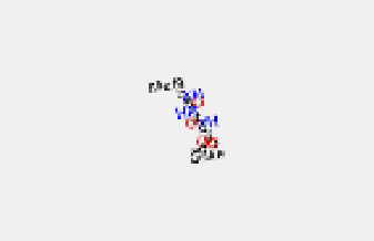 COCCNCC(=O)NCC(=O)NCCC(=O)OCCOC